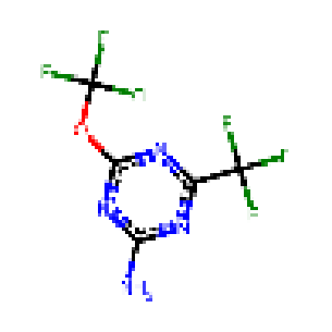 Nc1nc(OC(F)(F)Cl)nc(C(F)(F)F)n1